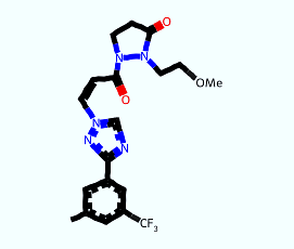 COCCN1C(=O)CCN1C(=O)/C=C\n1cnc(-c2cc(C)cc(C(F)(F)F)c2)n1